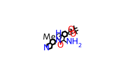 COc1ccc(B2OC(C)(C)C(C)(C)O2)cc1C(CN)C(=O)Nc1ccc2cnccc2c1